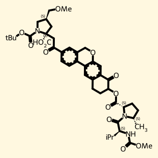 COC[C@@H]1CN(C(=O)OC(C)(C)C)[C@@](CC(=O)c2ccc3c(c2)COc2cc4c(cc2-3)CCC(OC(=O)[C@@H]2CC[C@H](C)N2C(=O)[C@@H](NC(=O)OC)C(C)C)C4=O)(C(=O)O)C1